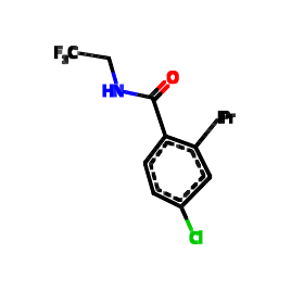 CC(C)c1cc(Cl)ccc1C(=O)NCC(F)(F)F